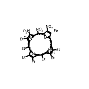 CCC1=C(CC)c2nc1c(CC)c1c(CC)c(CC)c(cc3nc(c([N+](=O)[O-])c4c([N+](=O)[O-])c(CC)c(c2CC)n4[N+](=O)[O-])C([N+](=O)[O-])=C3)n1CC.[Fe]